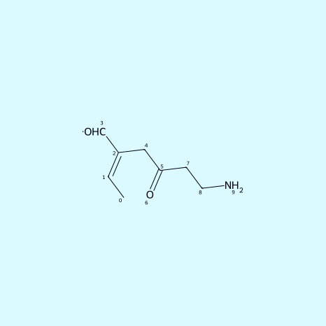 CC=C([C]=O)CC(=O)CCN